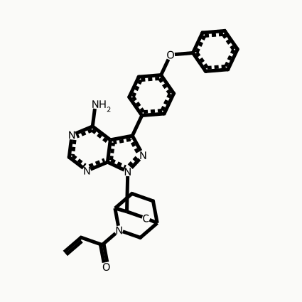 C=CC(=O)N1CC2CCC1C(n1nc(-c3ccc(Oc4ccccc4)cc3)c3c(N)ncnc31)C2